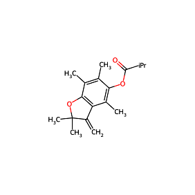 C=C1c2c(C)c(OC(=O)C(C)C)c(C)c(C)c2OC1(C)C